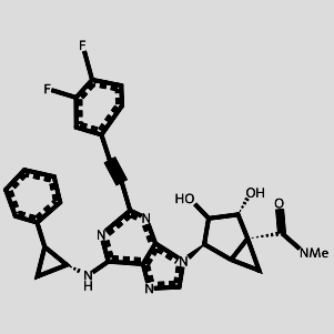 CNC(=O)[C@]12CC1[C@@H](n1cnc3c(N[C@@H]4CC4c4ccccc4)nc(C#Cc4ccc(F)c(F)c4)nc31)C(O)[C@@H]2O